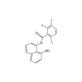 O=C(Oc1cccc2cccc(O)c12)c1c(I)ccc(I)c1I